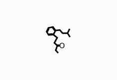 CCC(=O)CCc1ccccc1CCC(C)C